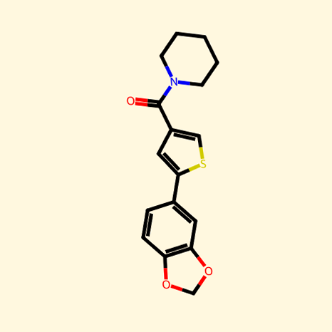 O=C(c1csc(-c2ccc3c(c2)OCO3)c1)N1CCCCC1